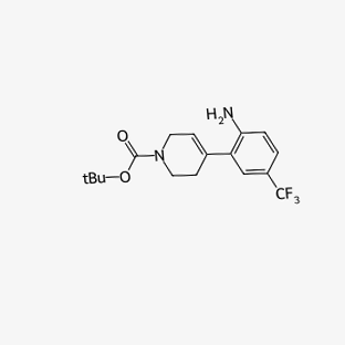 CC(C)(C)OC(=O)N1CC=C(c2cc(C(F)(F)F)ccc2N)CC1